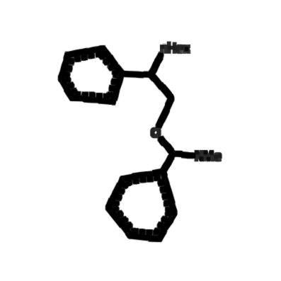 CCCCCCC(COC(NC)c1ccccc1)c1ccccc1